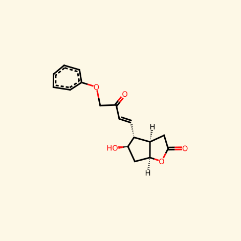 O=C(/C=C/[C@@H]1[C@H]2CC(=O)O[C@H]2C[C@H]1O)COc1ccccc1